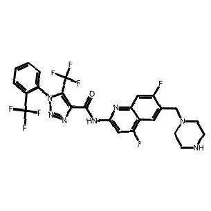 O=C(Nc1cc(F)c2cc(CN3CCNCC3)c(F)cc2n1)c1nnn(-c2ccccc2C(F)(F)F)c1C(F)(F)F